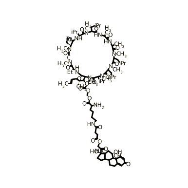 C/C=C/C[C@@H](C)C(OC(=O)OCOC(=O)C(N)CCCCNC(=O)CCC(=O)OCC(=O)[C@@]1(O)CCC2C3CCC4=CC(=O)C=C[C@]4(C)C3[C@@H](O)C[C@@]21C)C1C(=O)NC(CC)C(=O)N(C)CC(=O)N(C)[C@@H](CC(C)C)C(=O)NC(C(C)C)C(=O)N(C)C(CC(C)C)C(=O)NC(C)C(=O)NC(C)C(=O)N(C)C(CC(C)C)C(=O)N(C)C(CC(C)C)C(=O)N(C)C(C(C)C)C(=O)N1C